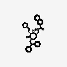 O=C(NC[C@@H]1CCN(CC(c2ccccc2)c2ccccc2)C(=O)[C@H](CCN2CCCC2)N1)c1ccc2ccccc2c1